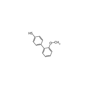 COc1ccccc1-c1ccc(S)cc1